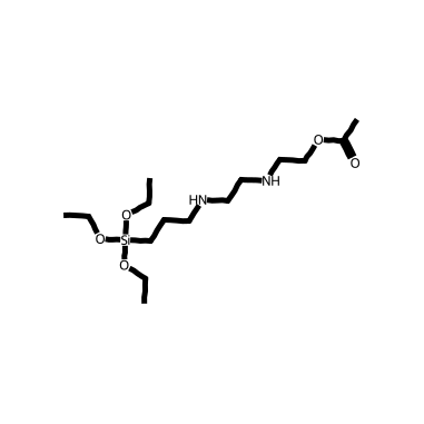 CCO[Si](CCCNCCNCCOC(C)=O)(OCC)OCC